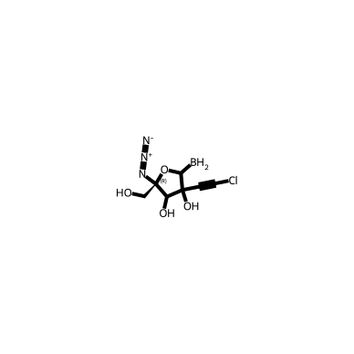 BC1O[C@@](CO)(N=[N+]=[N-])C(O)C1(O)C#CCl